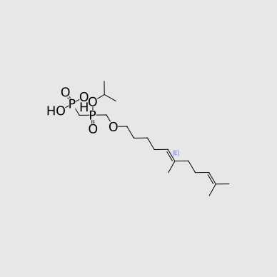 CC(C)=CCC/C(C)=C/CCCCOCP(=O)(CP(=O)(O)O)OC(C)C